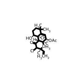 C=C[C@]1(C)O[C@]2(C)[C@@H](OC(C)=O)C=C3C(C)(C)CC[C@H](O)[C@]3(C)[C@H]2C(=O)C1Cl